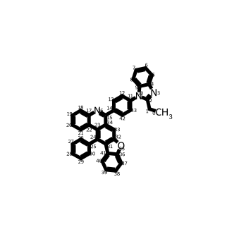 CCc1nc2ccccc2n1-c1ccc(-c2nc3ccccc3c3c(-c4ccccc4)c4c(cc23)oc2ccccc24)cc1